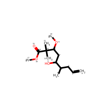 C=CCC(C)C(O)CC(OC(C)C)C(C)(C)C(=O)OC(C)C